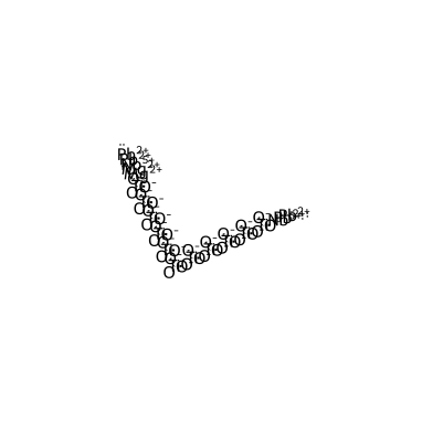 [Mg+2].[Mg+2].[Nb+5].[Nb+5].[O]=[Ti]([O-])[O-].[O]=[Ti]([O-])[O-].[O]=[Ti]([O-])[O-].[O]=[Ti]([O-])[O-].[O]=[Ti]([O-])[O-].[O]=[Ti]([O-])[O-].[O]=[Ti]([O-])[O-].[O]=[Ti]([O-])[O-].[O]=[Ti]([O-])[O-].[O]=[Ti]([O-])[O-].[O]=[Ti]([O-])[O-].[Pb+2].[Pb+2].[Pb+2].[Pb+2]